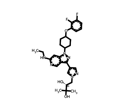 CCNc1cc2c(cn1)c(-c1cnn(C[C@@H](O)C(C)(C)O)c1)nn2C1CCC(Oc2cccc(F)c2F)CC1